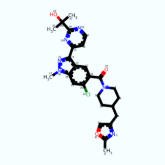 Cc1nc(CC2CCN(C(=O)c3cc4c(-c5ccnc(C(C)(C)O)n5)nn(C)c4cc3Cl)CC2)co1